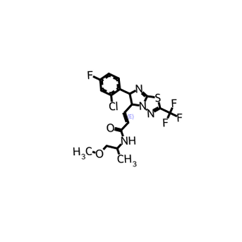 COCC(C)NC(=O)/C=C/C1C(c2ccc(F)cc2Cl)N=C2SC(C(F)(F)F)=NN21